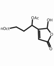 CCCCCCCCCCC(OC(C)=O)C1=CC(=O)OC1O